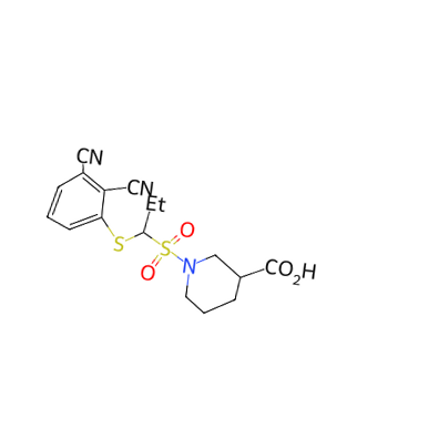 CCC(Sc1cccc(C#N)c1C#N)S(=O)(=O)N1CCCC(C(=O)O)C1